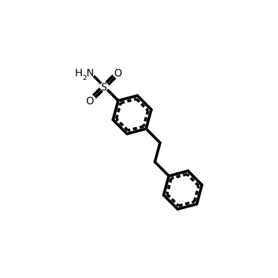 NS(=O)(=O)c1ccc(CCc2ccccc2)cc1